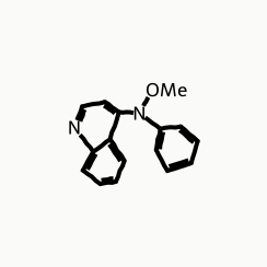 CON(c1ccccc1)c1ccnc2ccccc12